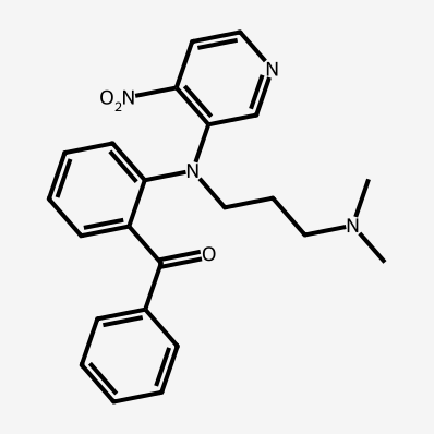 CN(C)CCCN(c1ccccc1C(=O)c1ccccc1)c1cnccc1[N+](=O)[O-]